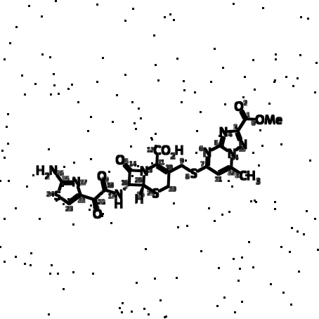 COC(=O)c1nc2nc(SCC3=C(C(=O)O)N4C(=O)[C@@H](NC(=O)C(=O)c5csc(N)n5)[C@H]4SC3)cc(C)n2n1